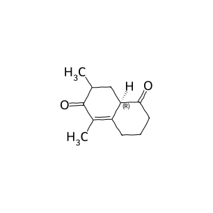 CC1=C2CCCC(=O)[C@@H]2CC(C)C1=O